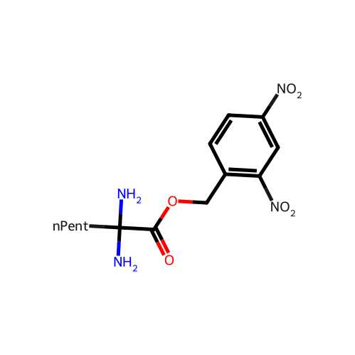 CCCCCC(N)(N)C(=O)OCc1ccc([N+](=O)[O-])cc1[N+](=O)[O-]